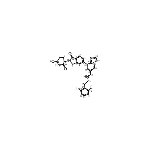 O=C1CCC(N2Cc3cc(-c4cc(CNCCc5c(F)cccc5F)cn5ccnc45)ccc3C2=O)C(=O)N1